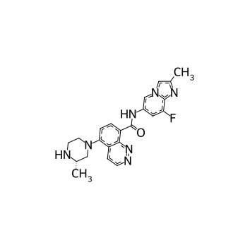 Cc1cn2cc(NC(=O)c3ccc(N4CCN[C@@H](C)C4)c4ccnnc34)cc(F)c2n1